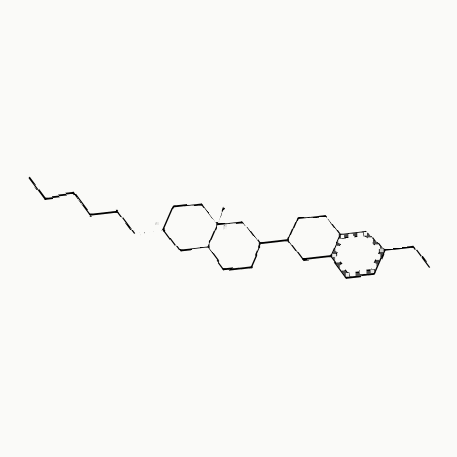 CCCCCC[C@@H]1CC[C@@H]2CC(C3CCc4cc(CC)ccc4C3)CCC2C1